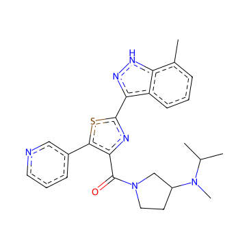 Cc1cccc2c(-c3nc(C(=O)N4CCC(N(C)C(C)C)C4)c(-c4cccnc4)s3)n[nH]c12